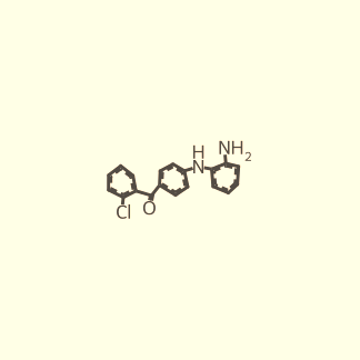 Nc1ccccc1Nc1ccc(C(=O)c2ccccc2Cl)cc1